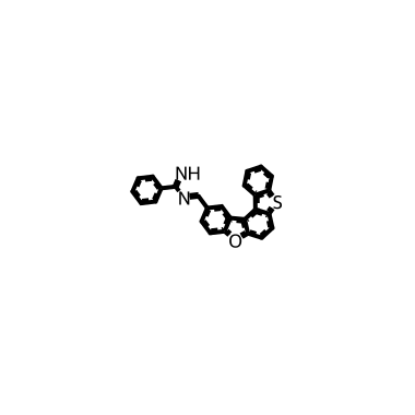 N=C(/N=C/c1ccc2oc3ccc4sc5ccccc5c4c3c2c1)c1ccccc1